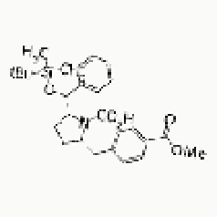 COC(=O)c1ccc(C[C@@H]2CC[C@H](C(O[Si](C)(C)C(C)(C)C)c3ccccc3)N2C(=O)O)cc1